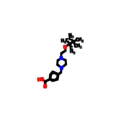 CC(C)(C)[Si](C)(C)OCCN1CCN(Cc2ccc(C(=O)O)cc2)CC1